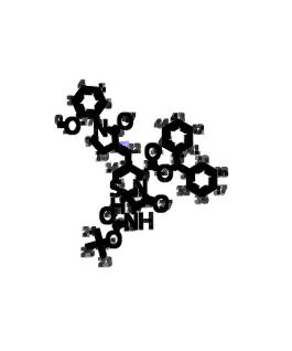 COc1ccccc1N1CC/C(=C\C2=CS[C@@H]3[C@H](NC(=O)OC(C)(C)C)C(=O)N3[C@H]2C(=O)OC(c2ccccc2)c2ccccc2)C1=O